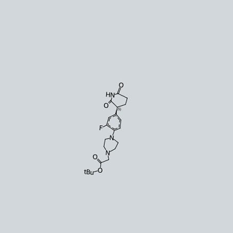 CC(C)(C)OC(=O)CN1CCN(c2ccc([C@@H]3CCC(=O)NC3=O)cc2F)CC1